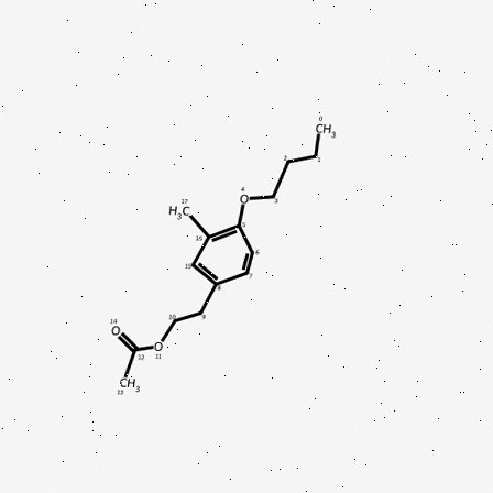 CCCCOc1ccc(CCOC(C)=O)cc1C